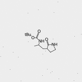 CC(CC1CCNC1=O)NC(=O)OC(C)(C)C